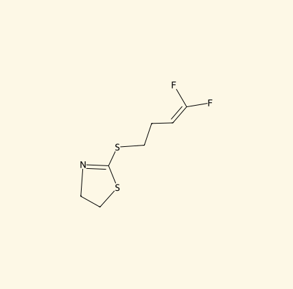 FC(F)=CCCSC1=NCCS1